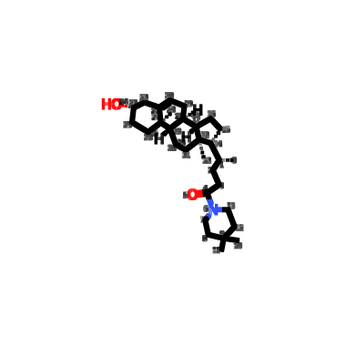 C[C@H](CCC(=O)N1CCC(C)(C)CC1)[C@H]1CC[C@H]2[C@@H]3CC=C4C[C@@H](O)CC[C@]4(C)[C@H]3CC[C@]12C